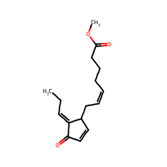 CC/C=C1/C(=O)C=CC1C/C=C\CCCC(=O)OC